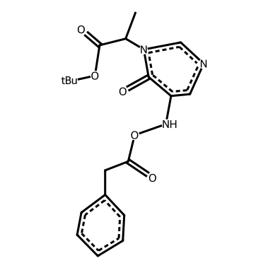 CC(C(=O)OC(C)(C)C)n1cncc(NOC(=O)Cc2ccccc2)c1=O